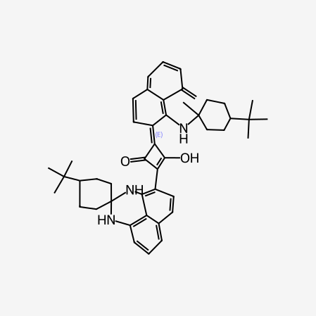 C=c1cccc2cc/c(=C3\C(=O)C(c4ccc5cccc6c5c4NC4(CCC(C(C)(C)C)CC4)N6)=C3O)c(NC3(C)CCC(C(C)(C)C)CC3)c12